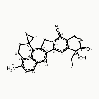 CC[C@@]1(O)C(=O)OCc2c1cc1n(c2=O)Cc2c-1nc1ccc(N)c3c1c2C1(CC3)CC1